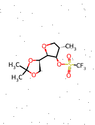 C[C@H]1CO[C@H]([C@H]2COC(C)(C)O2)[C@@H]1OS(=O)(=O)C(F)(F)F